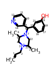 C=CCN1CC(C)N(C(c2cccnc2)c2cccc(O)c2)CC1C